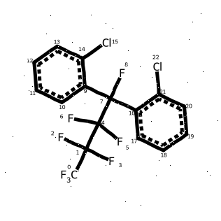 FC(F)(F)C(F)(F)C(F)(F)C(F)(c1ccccc1Cl)c1ccccc1Cl